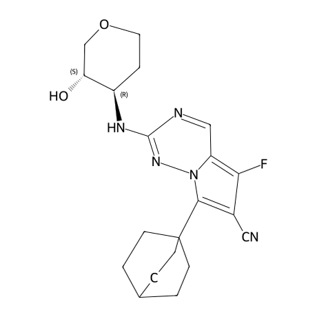 N#Cc1c(F)c2cnc(N[C@@H]3CCOC[C@H]3O)nn2c1C12CCC(CC1)CC2